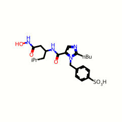 CCCCc1ncc(C(=O)NC(CC(=O)NO)CC(C)C)n1Cc1ccc(S(=O)(=O)O)cc1